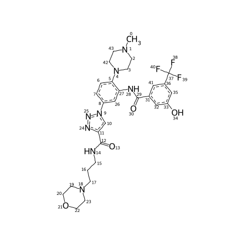 CN1CCN(c2ccc(-n3cc(C(=O)NCCCN4CCOCC4)nn3)cc2NC(=O)c2cc(O)cc(C(F)(F)F)c2)CC1